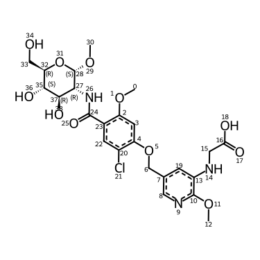 COc1cc(OCc2cnc(OC)c(NCC(=O)O)c2)c(Cl)cc1C(=O)N[C@H]1[C@@H](OC)O[C@H](CO)[C@@H](O)[C@@H]1O